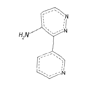 Nc1ccnnc1-c1cccnc1